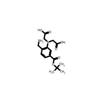 CC(C)(C)OC(=O)c1ccc(CN)c(N(CC(=O)O)CC(=O)O)c1